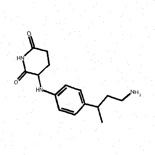 CC(CCN)c1ccc(NC2CCC(=O)NC2=O)cc1